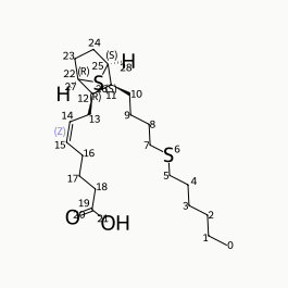 CCCCCCSCCCC[C@H]1[C@@H](C/C=C\CCCC(=O)O)[C@H]2CC[C@@H]1S2